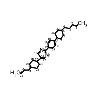 CCCCCC1CCC(c2ccc(-c3ncc(C4CCC(CCCC)CC4)cn3)cc2)CC1